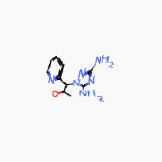 CC(=O)C(c1ccccn1)n1nc(N)nc1N